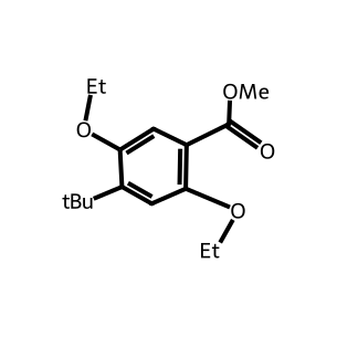 CCOc1cc(C(C)(C)C)c(OCC)cc1C(=O)OC